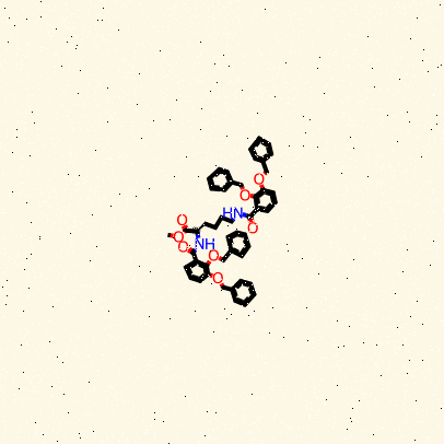 COC(=O)[C@@H](CCCCNC(=O)c1cccc(OCc2ccccc2)c1OCc1ccccc1)NC(=O)c1cccc(OCc2ccccc2)c1OCc1ccccc1